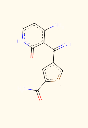 N=C(c1csc(C(N)=O)c1)c1c(N)cc[nH]c1=O